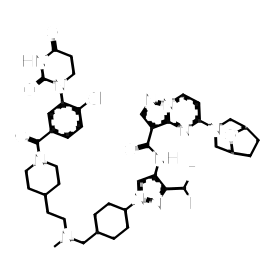 CN(CCC1CCN(C(=O)c2ccc(Cl)c(N3CCC(=O)NC3=O)c2)CC1)CC1CCC(n2cc(NC(=O)c3cnn4ccc(N5CC6CCC(C5)O6)nc34)c(C(F)F)n2)CC1